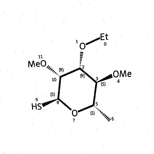 CCO[C@@H]1[C@@H](OC)[C@H](C)O[C@@H](S)[C@@H]1OC